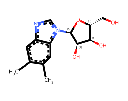 Cc1cc2ncn([C@H]3O[C@H](CO)[C@@H](O)[C@H]3O)c2cc1C